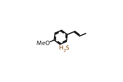 CC=Cc1ccc(OC)cc1.S